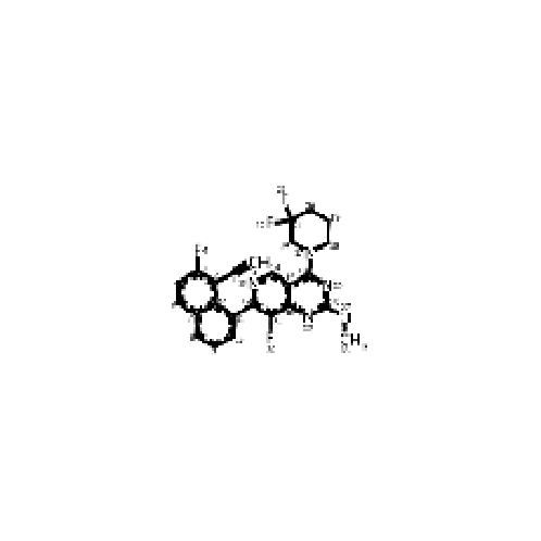 C#Cc1c(F)ccc2cccc(-c3ncc4c(N5CCCC(F)(F)C5)nc(OC)nc4c3F)c12